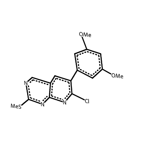 COc1cc(OC)cc(-c2cc3cnc(SC)nc3nc2Cl)c1